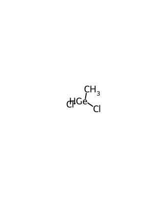 [CH3][GeH]([Cl])[Cl]